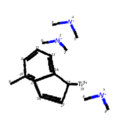 C[N-]C.C[N-]C.C[N-]C.Cc1cccc2c1C=C[CH]2[Ti+3]